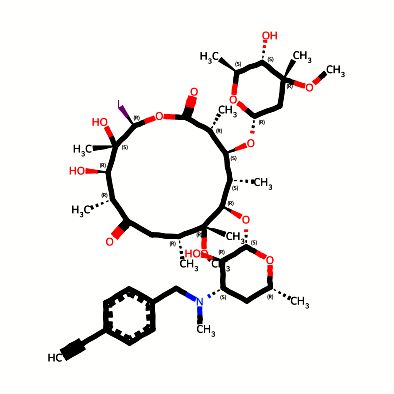 C#Cc1ccc(CN(C)[C@H]2C[C@@H](C)O[C@@H](O[C@@H]3[C@@H](C)[C@H](O[C@H]4C[C@@](C)(OC)[C@@H](O)[C@H](C)O4)[C@@H](C)C(=O)O[C@H](I)[C@@](C)(O)[C@H](O)[C@@H](C)C(=O)C[C@@H](C)[C@@]3(C)OC)[C@@H]2O)cc1